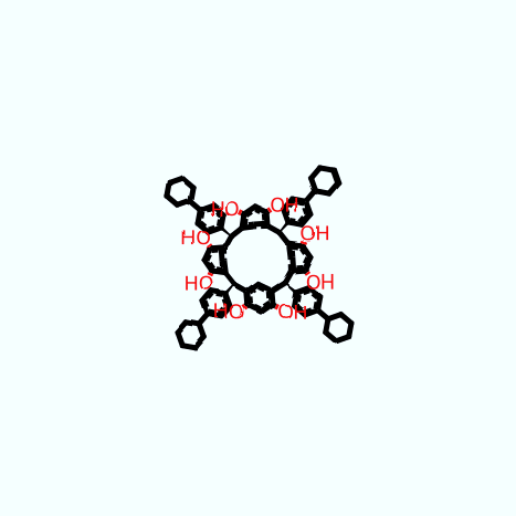 Oc1cc(O)c2cc1[C@H](c1ccc(C3CCCCC3)cc1)c1cc(c(O)cc1O)[C@H](c1ccc(C3CCCCC3)cc1)c1cc(c(O)cc1O)[C@H](c1ccc(C3CCCCC3)cc1)c1cc(c(O)cc1O)[C@@H]2c1ccc(C2CCCCC2)cc1